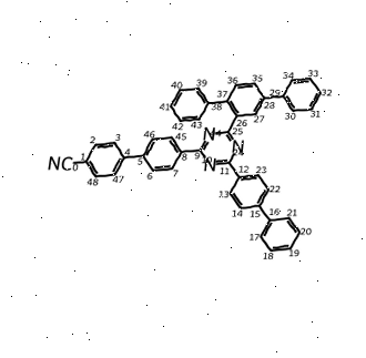 N#Cc1ccc(-c2ccc(-c3nc(-c4ccc(-c5ccccc5)cc4)nc(-c4cc(-c5ccccc5)ccc4-c4ccccc4)n3)cc2)cc1